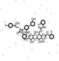 O=C(Nc1ccccc1F)OCC1O[C@@H](O[C@@H]2C(CO)O[C@@H](CS(=O)(=O)c3cc(-c4cccc(O)c4)ccc3[C@@H]3[C@@H](CC[C@H](O)c4ccc(F)cc4)C(=O)N3c3ccccc3)[C@@H](O)C2O)[C@@H](O)C(O)[C@@H]1OC(=O)Nc1ccccc1F